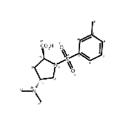 Cc1[c]ccc(S(=O)(=O)N2C[C@H](N(C)C)C[C@H]2C(=O)O)c1